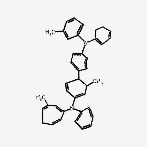 CC1=CCC=CC(N(C2=CC(C)C(c3ccc(N(C4=CC=CCC4)c4cccc(C)c4)cc3)C=C2)c2ccccc2)=C1